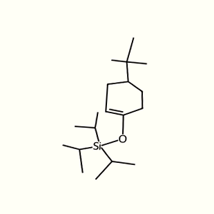 CC(C)[Si](OC1=CCC(C(C)(C)C)CC1)(C(C)C)C(C)C